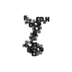 O=C(O)c1cc(O[C@H]2C[C@@H](F)C2)c2cc(N3CC4(CC(/C=C/c5c(-c6c(Cl)cncc6Cl)noc5C5CC5)C4)C3)ccc2n1